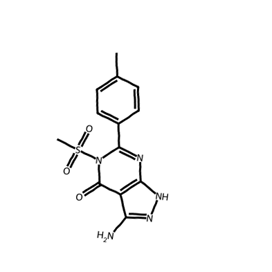 Cc1ccc(-c2nc3[nH]nc(N)c3c(=O)n2S(C)(=O)=O)cc1